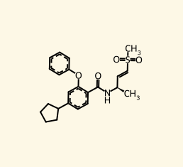 C[C@H](/C=C/S(C)(=O)=O)NC(=O)c1ccc(C2CCCC2)cc1Oc1ccccc1